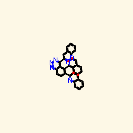 c1ccc2nnc(-c3nnnc4ccc(-c5ccc6ccccc6n5)c(-c5nccc6ccccc56)c34)cc2c1